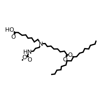 CCCCCCCCC(CCCCCCCC)OC(=O)CCCCCCCN(CCCCCCCC(=O)O)CCCNC(=O)OC